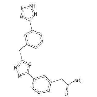 NC(=O)Cc1cccc(-c2nnc(Cc3cccc(-c4nn[nH]n4)c3)o2)c1